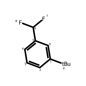 CC(C)(C)c1c[c]cc(C(F)F)c1